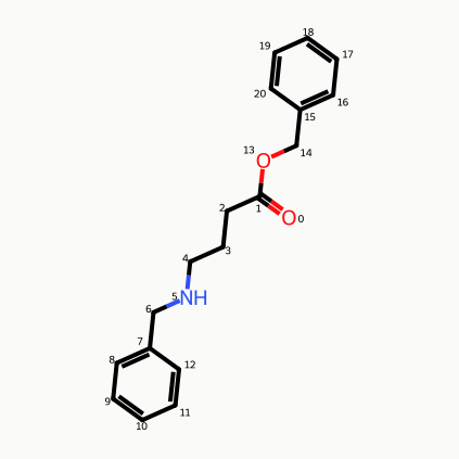 O=C(CCCNCc1ccccc1)OCc1ccccc1